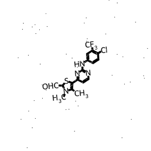 CC1=C(c2ccnc(Nc3ccc(Cl)c(C(F)(F)F)c3)n2)SC(C=O)N1C